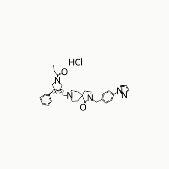 CCC(=O)N1C[C@H](CN2CCC3(CC2)CCN(Cc2ccc(-n4cccn4)cc2)C3=O)[C@@H](c2ccccc2)C1.Cl